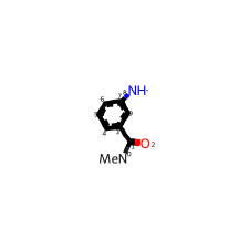 CNC(=O)c1cccc([NH])c1